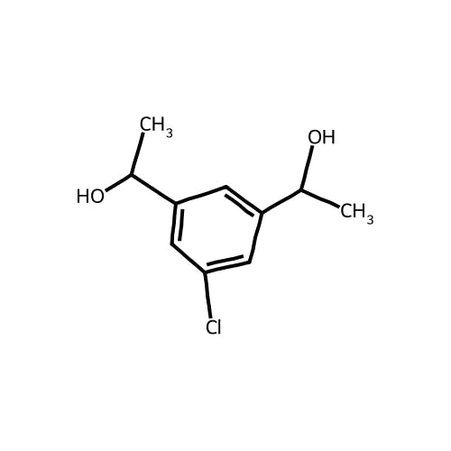 CC(O)c1cc(Cl)cc(C(C)O)c1